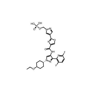 CCO[C@H]1CC[C@H](n2cc(NC(=O)c3coc(-c4cnn(COP(=O)(O)O)c4)n3)c(-c3nc(F)ccc3F)n2)CC1